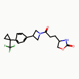 O=C1NC(CCC(=O)N2CC(c3ccc(C4(C(F)(F)F)CC4)cc3)C2)CO1